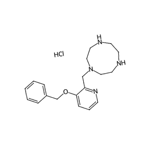 Cl.c1ccc(COc2cccnc2CN2CCNCCNCC2)cc1